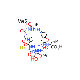 CSCC[C@H](NC(=O)[C@@H](N)C(C)C)C(=O)N[C@@H](C)C(=O)N1CCC[C@H]1C(=O)N[C@@H](CS)C(=O)N[C@H](C(=O)N[C@@H](CC(C)C)C(=O)N[C@@H](Cc1ccccc1)C(=O)N[C@@H](CC(C)C)C(=O)O)[C@@H](C)O